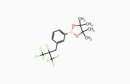 CC1(C)OB(c2cccc(CC(F)(C(F)(F)F)C(F)(F)F)c2)OC1(C)C